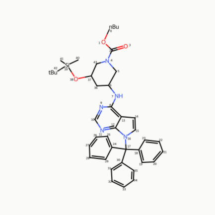 CCCCOC(=O)N1CC(Nc2ncnc3c2ccn3C(c2ccccc2)(c2ccccc2)c2ccccc2)CC(O[Si](C)(C)C(C)(C)C)C1